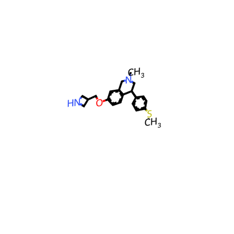 CSc1ccc(C2CN(C)Cc3cc(OCC4CNC4)ccc32)cc1